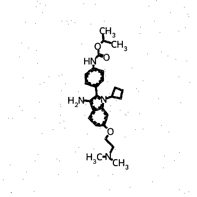 CC(C)OC(=O)Nc1ccc(-c2c(N)c3ccc(OCCN(C)C)cc3n2C2CCC2)cc1